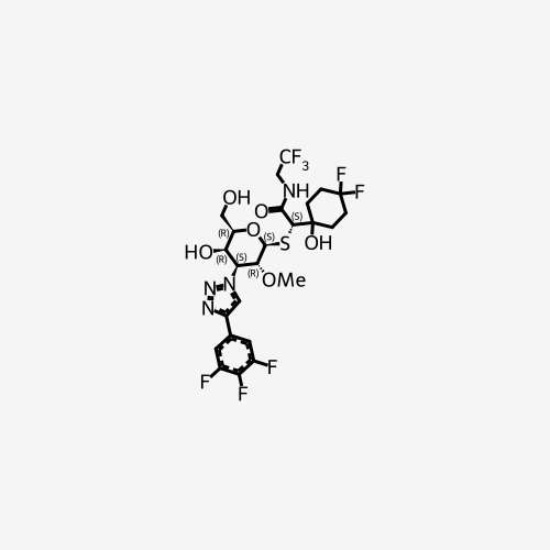 CO[C@@H]1[C@@H](n2cc(-c3cc(F)c(F)c(F)c3)nn2)[C@@H](O)[C@@H](CO)O[C@H]1S[C@H](C(=O)NCC(F)(F)F)C1(O)CCC(F)(F)CC1